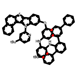 CC(C)(C)c1cc(Nc2ccccc2Nc2c(-c3cccc(-c4ccccc4)c3)cccc2-c2cccc(C(C)(C)C)c2)cc(Oc2ccc3c4sc5ccc6ccccc6c5c4n(-c4cc(C(C)(C)C)ccn4)c3c2)c1